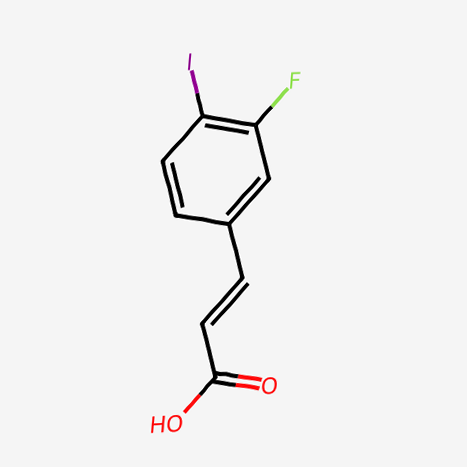 O=C(O)/C=C/c1ccc(I)c(F)c1